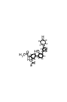 CC(=O)Nc1ccc(-c2cccc(-c3cc(N4CCNCC4)no3)c2O)cc1OC(F)F